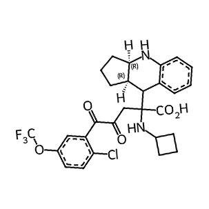 O=C(CC(NC1CCC1)(C(=O)O)C1c2ccccc2N[C@@H]2CCC[C@H]12)C(=O)c1cc(OC(F)(F)F)ccc1Cl